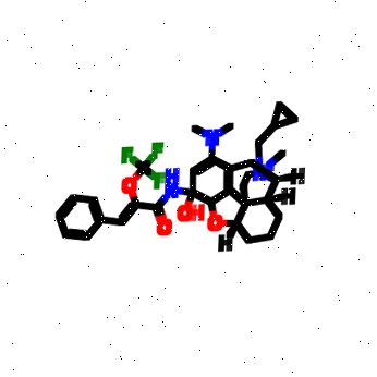 CN(C)C1=CC(O)(NC(=O)C(=Cc2ccccc2)OC(F)(F)F)C2O[C@H]3CCC[C@H]4[C@H]5CC1=C2[C@@]34CC[N+]5(C)CC1CC1